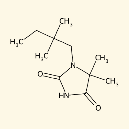 CCC(C)(C)CN1C(=O)NC(=O)C1(C)C